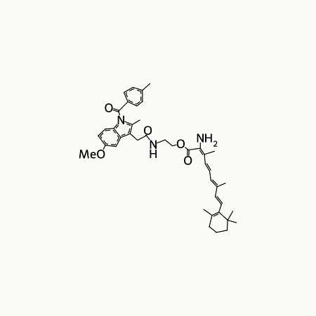 COc1ccc2c(c1)c(CC(=O)NCCOC(=O)\C(N)=C(C)/C=C/C=C(C)/C=C/C1=C(C)CCCC1(C)C)c(C)n2C(=O)c1ccc(C)cc1